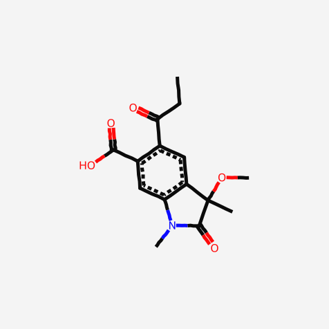 CCC(=O)c1cc2c(cc1C(=O)O)N(C)C(=O)C2(C)OC